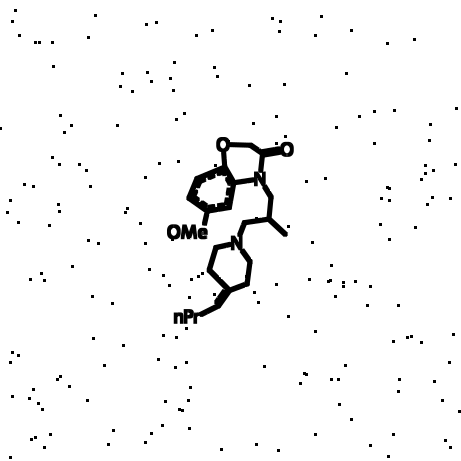 CCCC=C1CCN(CC(C)CN2C(=O)COc3ccc(OC)cc32)CC1